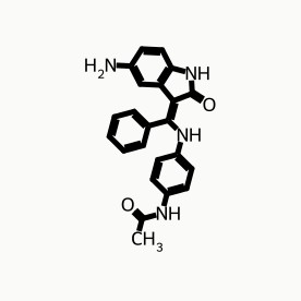 CC(=O)Nc1ccc(N/C(=C2\C(=O)Nc3ccc(N)cc32)c2ccccc2)cc1